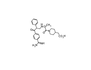 C[C@H](NCC(C(=O)c1ccc(C(=N)N)cc1)c1ccccc1)C(=O)N1CCC(CC(=O)O)CC1